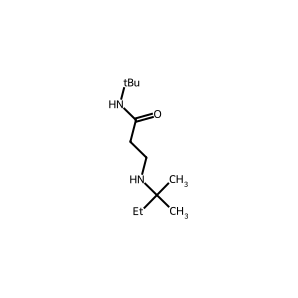 CCC(C)(C)NCCC(=O)NC(C)(C)C